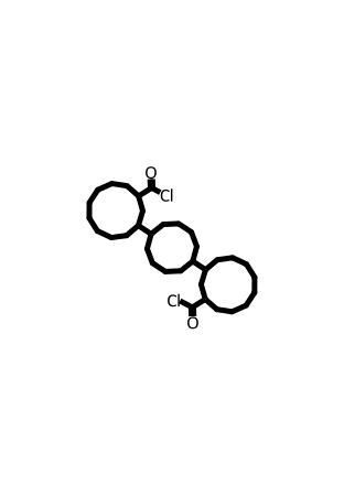 O=C(Cl)C1CCCCCCCCC(C2CCCCC(C3CCCCCCCCC(C(=O)Cl)C3)CCCC2)C1